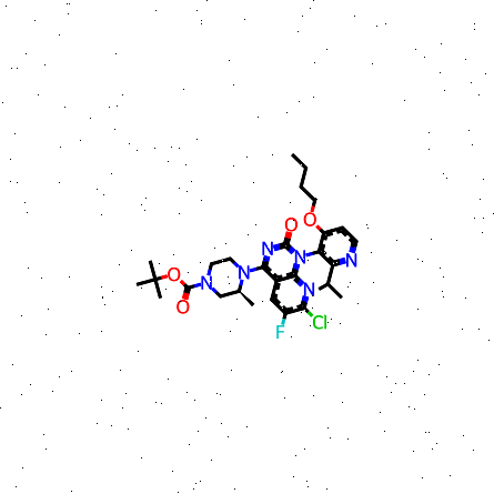 CCCCOc1ccnc(C(C)C)c1-n1c(=O)nc(N2CCN(C(=O)OC(C)(C)C)C[C@@H]2C)c2cc(F)c(Cl)nc21